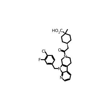 C[C@]1(C(=O)O)CC[C@@H](CC(=O)N2CCc3c(n(Cc4ccc(Cl)c(F)c4)c4ncccc34)C2)CC1